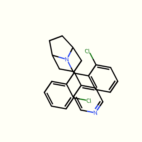 Clc1ccccc1C(c1ccccc1Cl)N1C2CCC1CC(c1ccncc1)C2